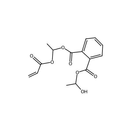 C=CC(=O)OC(C)OC(=O)c1ccccc1C(=O)OC(C)O